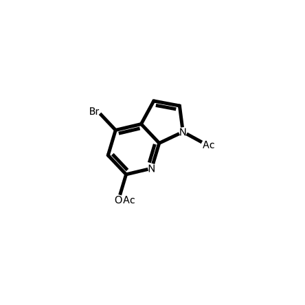 CC(=O)Oc1cc(Br)c2ccn(C(C)=O)c2n1